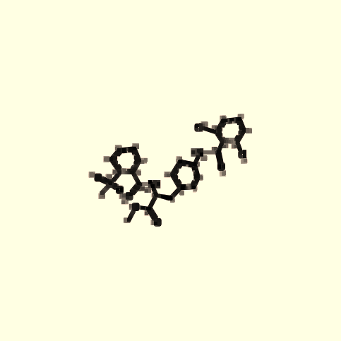 COC(=O)[C@H](Cc1ccc(NC(=O)c2c(Cl)cccc2Cl)cc1)NC(=O)c1ccccc1S(C)(=O)=O